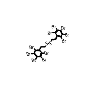 Brc1c(Br)c(Br)c(CCSSCCc2c(Br)c(Br)c(Br)c(Br)c2Br)c(Br)c1Br